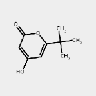 CC(C)(C)c1cc(O)cc(=O)o1